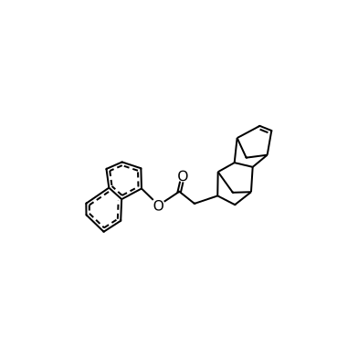 O=C(CC1CC2CC1C1C3C=CC(C3)C21)Oc1cccc2ccccc12